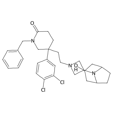 O=C1CCC(CCN2CC(N3C4CCC3CC(O)C4)C2)(c2ccc(Cl)c(Cl)c2)CN1Cc1ccccc1